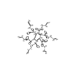 C=CCOC(=O)c1c(C(=O)OCC=C)c(C(=O)OCC=C)c(C(=O)OCC=C)c(C(=O)OCC=C)c1C(=O)OCC=C